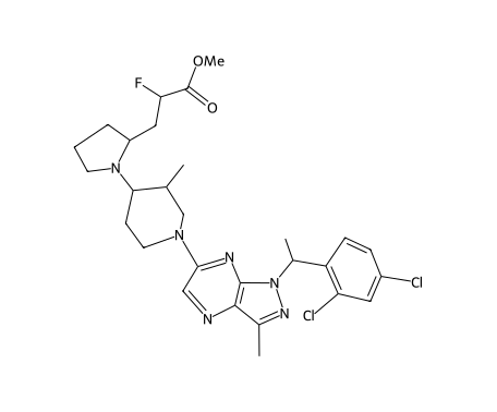 COC(=O)C(F)CC1CCCN1C1CCN(c2cnc3c(C)nn(C(C)c4ccc(Cl)cc4Cl)c3n2)CC1C